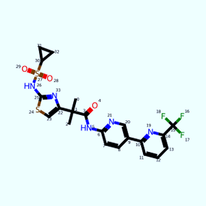 CC(C)(C(=O)Nc1ccc(-c2cccc(C(F)(F)F)n2)cn1)c1csc(NS(=O)(=O)C2CC2)n1